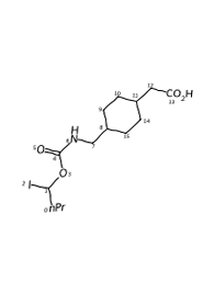 CCCC(I)OC(=O)NCC1CCC(CC(=O)O)CC1